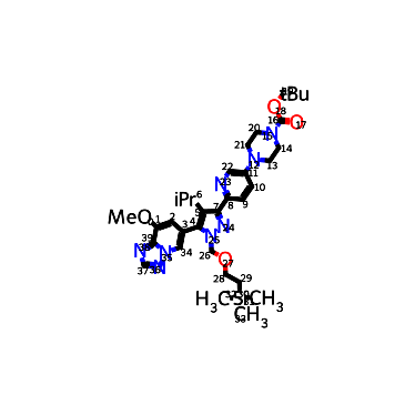 COc1cc(-c2c(C(C)C)c(-c3ccc(N4CCN(C(=O)OC(C)(C)C)CC4)cn3)nn2COCC[Si](C)(C)C)cn2ncnc12